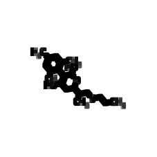 CCCSCC(C)C1CC(O)=C(c2c(C)cc(C)cc2C)C(O)O1